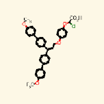 O=C(O)C(Cl)Oc1ccc(OCC=C(c2ccc(-c3ccc(OC(F)(F)F)cc3)cc2)c2ccc(-c3ccc(OC(F)(F)F)cc3)cc2)cc1